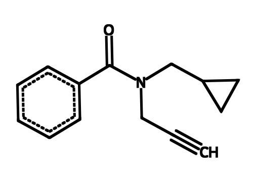 C#CCN(CC1CC1)C(=O)c1ccccc1